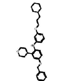 c1ccc(COc2ccc(Nc3cccc(OCCCC4CCCCC4)c3)c(C3CCOCC3)c2)cc1